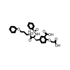 O=C(O)COc1ccc(C[C@H](NS(=O)(=O)c2ccccc2)C(=O)NCCCOc2ccccc2)cc1C(=O)O